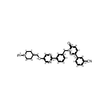 CC(C)N1CCC(COc2cnc(-c3cccc(Cn4nc(-c5cccc(C#N)c5)ccc4=O)c3)nc2)CC1